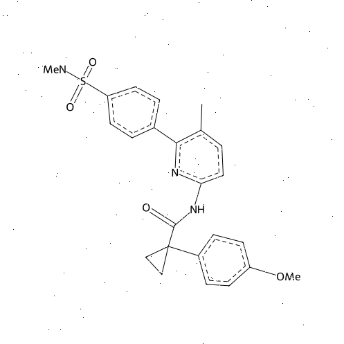 CNS(=O)(=O)c1ccc(-c2nc(NC(=O)C3(c4ccc(OC)cc4)CC3)ccc2C)cc1